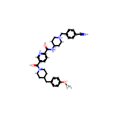 COc1ccc(CC2CCN(C(=O)c3ccc(C(=O)NC4CCN(Cc5ccc(C#N)cc5)CC4)nc3)CC2)cc1